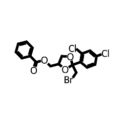 O=C(OCC1COC(CBr)(c2ccc(Cl)cc2Cl)O1)c1ccccc1